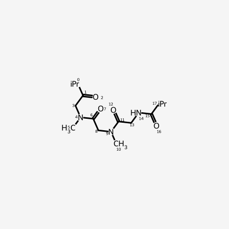 CC(C)C(=O)CN(C)C(=O)CN(C)C(=O)CNC(=O)C(C)C